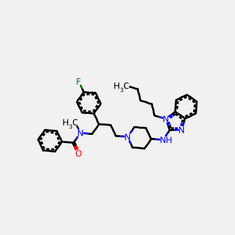 CCCCCn1c(NC2CCN(CCC(CN(C)C(=O)c3ccccc3)c3ccc(F)cc3)CC2)nc2ccccc21